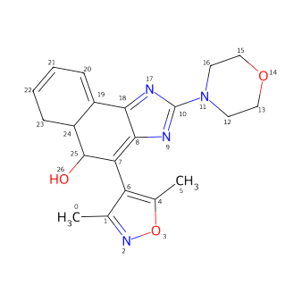 Cc1noc(C)c1C1=C2N=C(N3CCOCC3)N=C2C2=CC=CCC2C1O